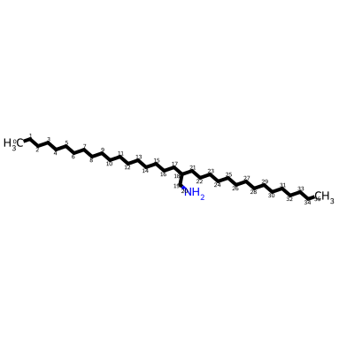 CCCCCCCCCCCCCCCCCCC(CN)CCCCCCCCCCCCCCC